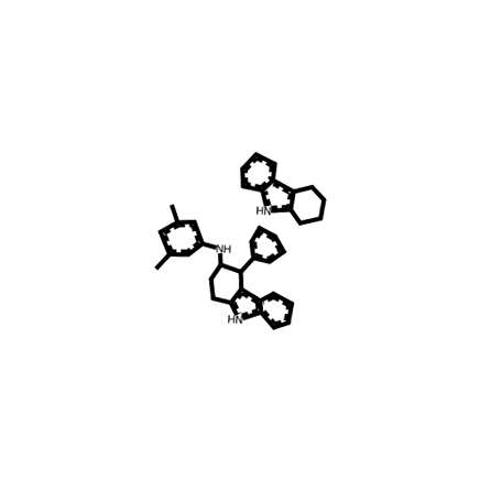 Cc1cc(C)cc(NC2CCc3[nH]c4ccccc4c3C2c2ccccc2)c1.c1ccc2c3c([nH]c2c1)CCCC3